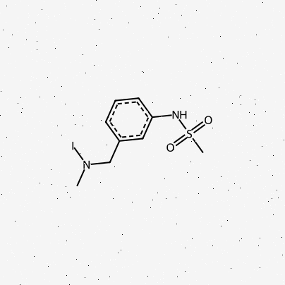 CN(I)Cc1cccc(NS(C)(=O)=O)c1